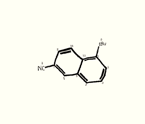 CC(C)(C)c1cccc2cc(C#N)ccc12